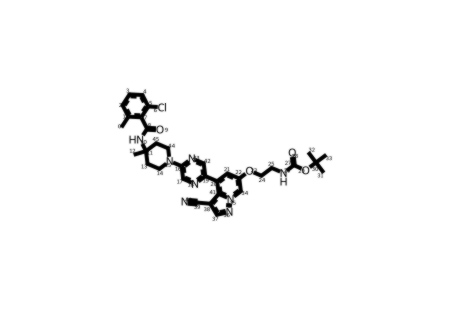 Cc1cccc(Cl)c1C(=O)NC1(C)CCN(c2cnc(-c3cc(OCCNC(=O)OC(C)(C)C)cn4ncc(C#N)c34)cn2)CC1